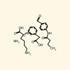 CCCC(=O)Nc1ccc(C=O)cc1.N.NCCCC[C@H](N)C(=O)O.O=C(O)Cc1ccccc1